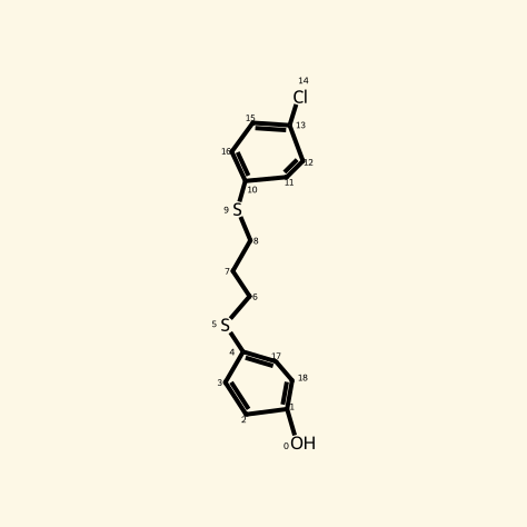 Oc1ccc(SCCCSc2ccc(Cl)cc2)cc1